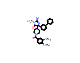 COc1ccc(C(=O)N2CCC(C3(c4cccc(-c5ccccc5)c4)N=C(N)N(C)C3=O)CC2)cc1OC